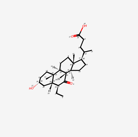 CC[C@@H]1C(=O)[C@@H]2[C@H](CC[C@]3(C)[C@@H](C(C)CCC(=O)O)CC[C@@H]23)[C@@]2(C)CC[C@@H](O)C[C@@H]12